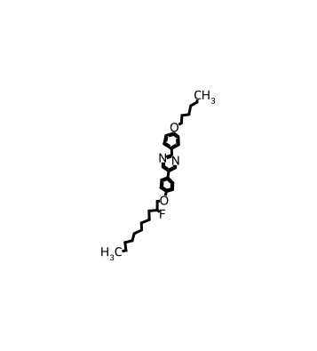 CCCCCCCCCC(F)COc1ccc(-c2cnc(-c3ccc(OCCCCCC)cc3)nc2)cc1